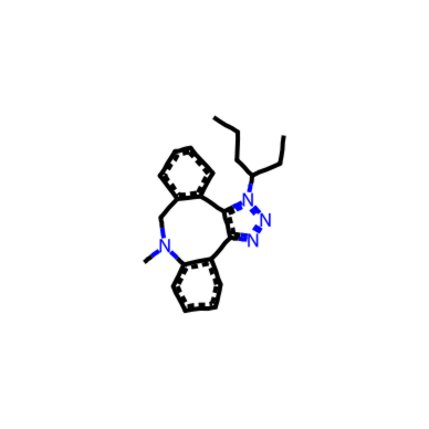 CCCC(CC)n1nnc2c1-c1ccccc1CN(C)c1ccccc1-2